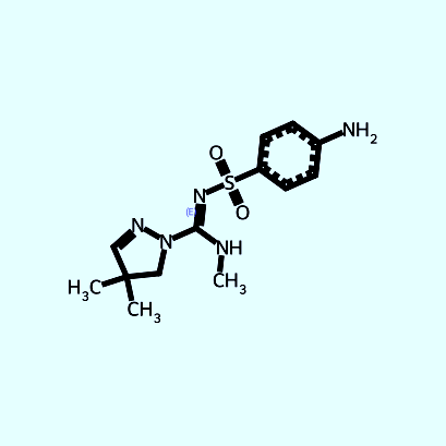 CN/C(=N\S(=O)(=O)c1ccc(N)cc1)N1CC(C)(C)C=N1